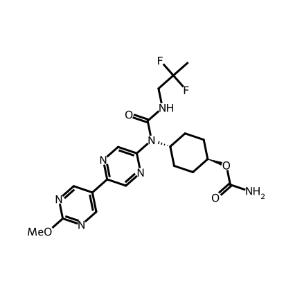 COc1ncc(-c2cnc(N(C(=O)NCC(C)(F)F)[C@H]3CC[C@H](OC(N)=O)CC3)cn2)cn1